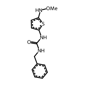 CONc1ccc(NC(=O)NCc2ccccc2)s1